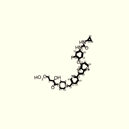 O=C(O)CC[C@@H](O)C(=O)N1CCN(Cc2ccc(-c3cc4nccc(Oc5ccc(NC(=O)NC6CC6)cc5F)c4s3)nc2)CC1